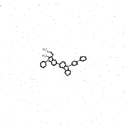 CC/C=C\c1c(C)n(-c2ccccc2)c2ccc(-c3ccc4c(c3)c3ccccc3n4-c3ccc(-c4ccccc4)cc3)cc12